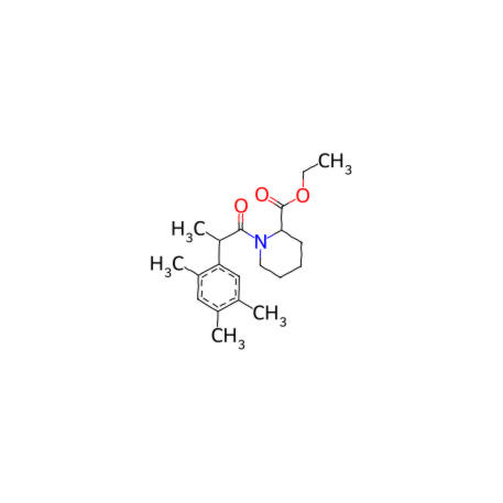 CCOC(=O)C1CCCCN1C(=O)C(C)c1cc(C)c(C)cc1C